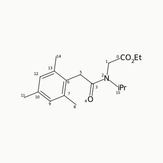 CCOC(=O)CN(C(=O)Cc1c(C)cc(C)cc1C)C(C)C